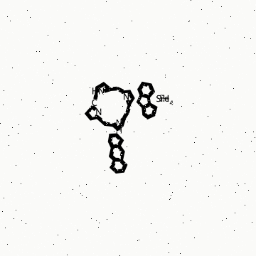 C1=Cc2cc3ccc(cc4nc(cc5ccc(cc1n2)[nH]5)C=C4)[nH]3.[Fe].[SiH4].c1ccc2c(c1)Cc1ccccc1-2.c1ccc2cc3ccccc3cc2c1